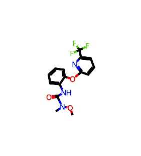 CON(C)C(=O)Nc1ccccc1Oc1cccc(C(F)(F)F)n1